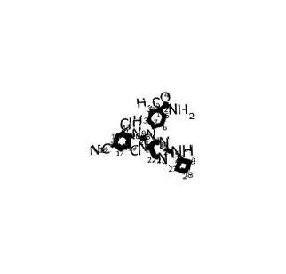 C[C@]1(C(N)=O)CC[C@@H](n2c(Nc3c(Cl)cc(C#N)cc3Cl)nc3cnc(NC4CCC4)nc32)CC1